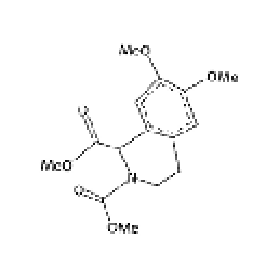 COC(=O)C1c2cc(OC)c(OC)cc2CCN1C(=O)OC